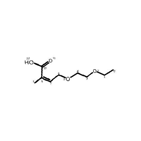 CCOCCOCC=C(C)C(=O)O